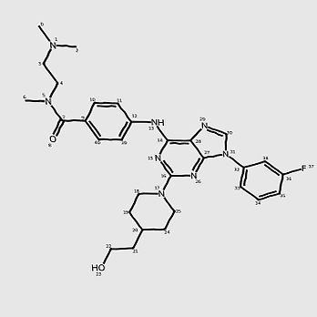 CN(C)CCN(C)C(=O)c1ccc(Nc2nc(N3CCC(CCO)CC3)nc3c2ncn3-c2cccc(F)c2)cc1